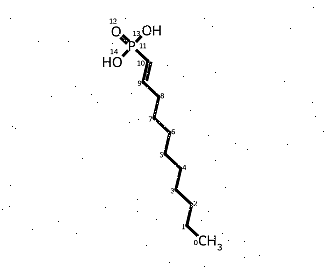 CCCCCCCCCC=CP(=O)(O)O